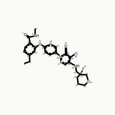 CCc1ccc(C(=O)NC)c(Oc2ccc(-n3ncc(NC[C@@]4(F)CCCOC4)c(Cl)c3=O)cn2)c1